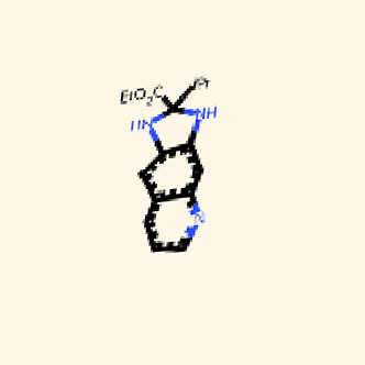 CCOC(=O)C1(C(C)C)Nc2cc3cccnc3cc2N1